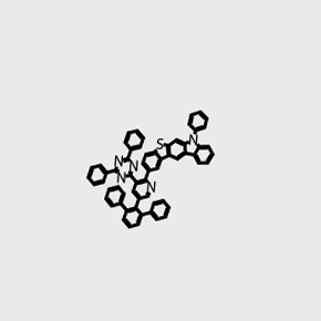 c1ccc(-c2nc(-c3ccccc3)nc(-c3cc(-c4c(-c5ccccc5)cccc4-c4ccccc4)cnc3-c3ccc4sc5cc6c(cc5c4c3)c3ccccc3n6-c3ccccc3)n2)cc1